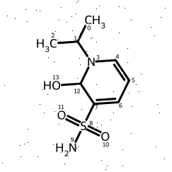 CC(C)N1C=CC=C(S(N)(=O)=O)C1O